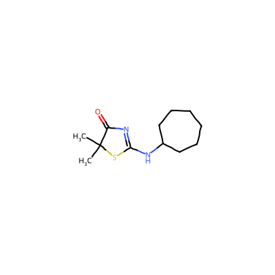 CC1(C)SC(NC2CCCCCC2)=NC1=O